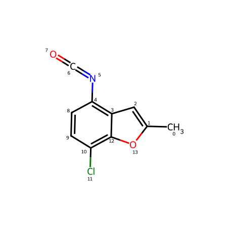 Cc1cc2c(N=C=O)ccc(Cl)c2o1